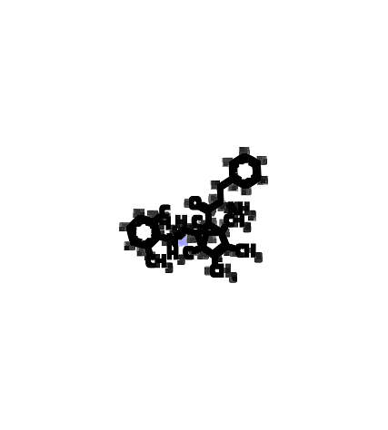 CC1=C(C)C2(C)C(C(=O)[C@@H](N)Cc3ccccc3)C(/C=N/c3c(C)cccc3C)C1(C)C2C